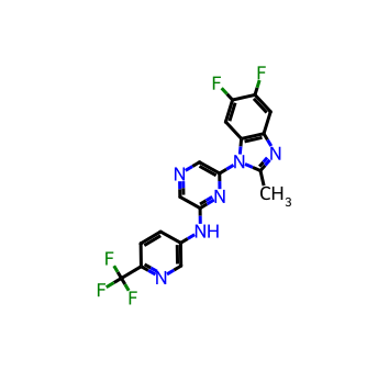 Cc1nc2cc(F)c(F)cc2n1-c1cncc(Nc2ccc(C(F)(F)F)nc2)n1